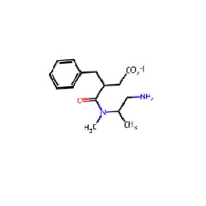 CC(CN)N(C)C(=O)C(CC(=O)O)Cc1ccccc1